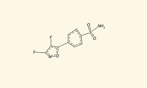 NS(=O)(=O)c1ccc(-c2onc(F)c2F)cc1